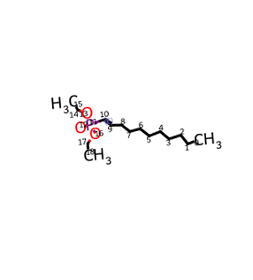 CCCCCCCCC/C=C/P(=O)(OCC)OCC